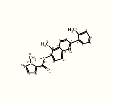 Cc1ccccc1-c1ccc2c(C)c(NC(=O)c3ccnn3C)ccc2n1